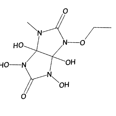 CCON1C(=O)N(C)C2(O)N(O)C(=O)N(O)C12O